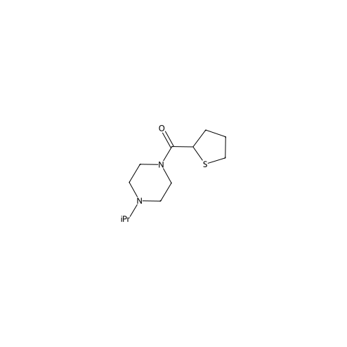 CC(C)N1CCN(C(=O)C2CCCS2)CC1